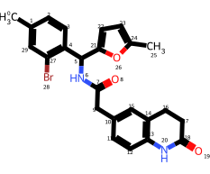 Cc1ccc(C(NC(=O)Cc2ccc3c(c2)CCC(=O)N3)c2ccc(C)o2)c(Br)c1